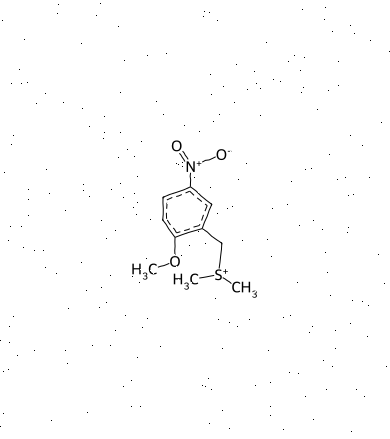 COc1ccc([N+](=O)[O-])cc1C[S+](C)C